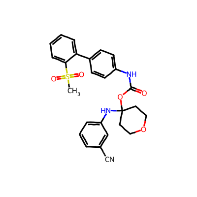 CS(=O)(=O)c1ccccc1-c1ccc(NC(=O)OC2(Nc3cccc(C#N)c3)CCOCC2)cc1